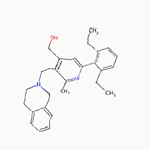 CCc1cccc(CC)c1-c1cc(CO)c(CN2CCc3ccccc3C2)c(C)n1